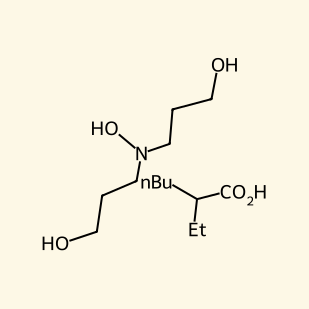 CCCCC(CC)C(=O)O.OCCCN(O)CCCO